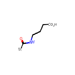 CCC(=O)NCCCC(=O)O